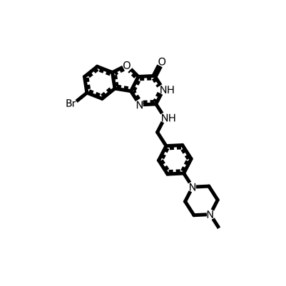 CN1CCN(c2ccc(CNc3nc4c(oc5ccc(Br)cc54)c(=O)[nH]3)cc2)CC1